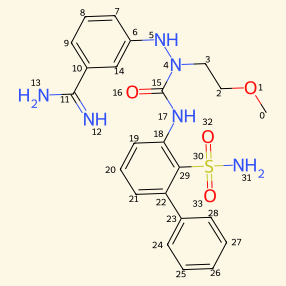 COCCN(Nc1cccc(C(=N)N)c1)C(=O)Nc1cccc(-c2ccccc2)c1S(N)(=O)=O